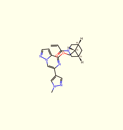 C=CC(=O)N1C[C@H]2C[C@@H](C1)[C@H]2COc1nc(-c2cnn(C)c2)cn2nccc12